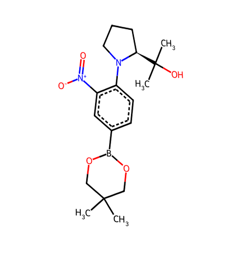 CC1(C)COB(c2ccc(N3CCC[C@H]3C(C)(C)O)c([N+](=O)[O-])c2)OC1